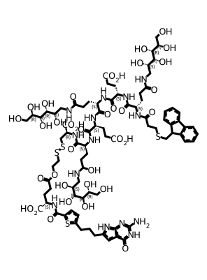 Nc1nc2[nH]c(CCCc3ccc(C(=O)N[C@@H](CCC(=O)OCCSSC[C@H](NC(=O)[C@H](CCC(O)NC[C@H](O)[C@@H](O)[C@H](O)[C@H](O)CO)NC(=O)[C@H](CCC(=O)O)NC(=O)[C@H](CCC(=O)NC[C@H](O)[C@@H](O)[C@H](O)[C@H](O)CO)NC(=O)[C@H](CCC(=O)O)NC(=O)[C@H](CCC(=O)NC[C@H](O)[C@@H](O)[C@H](O)[C@H](O)CO)NC(=O)CCSCC4c5ccccc5-c5ccccc54)C(=O)O)C(=O)O)s3)cc2c(=O)[nH]1